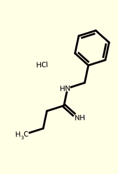 CCCC(=N)NCc1ccccc1.Cl